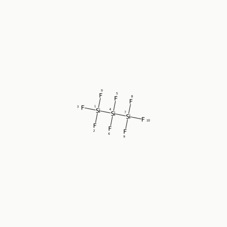 F[Si](F)(F)[Si](F)(F)[Si](F)(F)F